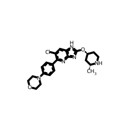 C[C@@H]1C[C@@H](Oc2nc3nc(-c4ccc(N5CCOCC5)cc4)c(Cl)cc3[nH]2)CCN1